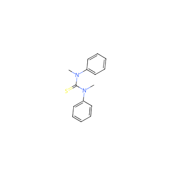 CN(C(=S)N(C)c1ccccc1)c1ccccc1